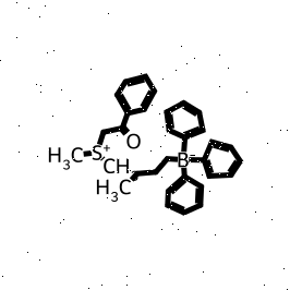 CCCC[B-](c1ccccc1)(c1ccccc1)c1ccccc1.C[S+](C)CC(=O)c1ccccc1